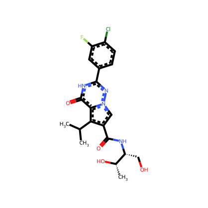 CC(C)c1c(C(=O)N[C@H](CO)[C@H](C)O)cn2nc(-c3ccc(Cl)c(F)c3)[nH]c(=O)c12